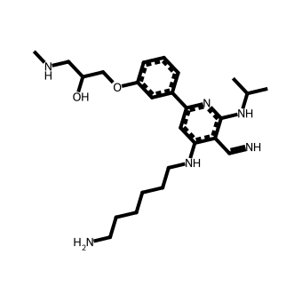 CNCC(O)COc1cccc(-c2cc(NCCCCCCN)c(C=N)c(NC(C)C)n2)c1